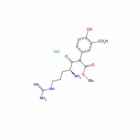 CC(C)(C)OC(=O)N(C(=O)[C@@H](N)CCCNC(=N)N)c1ccc(O)c(C(=O)O)c1.Cl